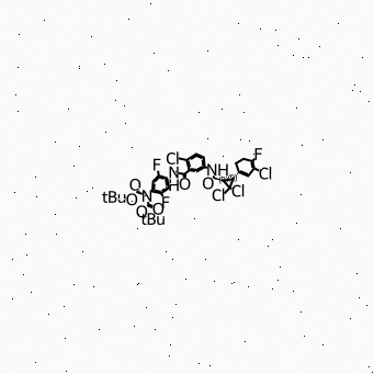 CC(C)(C)OC(=O)N(C(=O)OC(C)(C)C)c1cc(F)c(NC(=O)c2cc(NC(=O)[C@H]3[C@H](C4=CC(Cl)=C(F)CC4)C3(Cl)Cl)ccc2Cl)cc1F